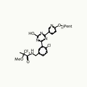 CCC[C@H](C)Oc1ccc(-c2nc(O)nc(-c3cc(CNC(=O)[C@@](C)(OC)C(F)(F)F)ccc3Cl)n2)cn1